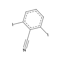 N#Cc1c(I)cccc1I